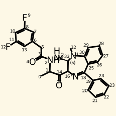 CC(NC(=O)Cc1cc(F)cc(F)c1)C(=O)C1N=C(c2ccccc2)c2ccccc2N(C)[C@@H]1N